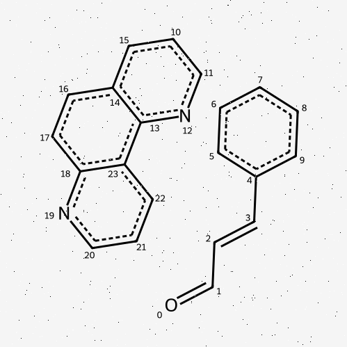 O=CC=Cc1ccccc1.c1cnc2c(c1)ccc1ncccc12